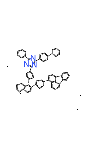 c1ccc(-c2ccc(-c3nc(-c4ccccc4)nc(-c4ccc(-c5c(-c6ccc(-c7ccc8c9c(cccc79)-c7ccccc7-8)cc6)ccc6ccccc56)cc4)n3)cc2)cc1